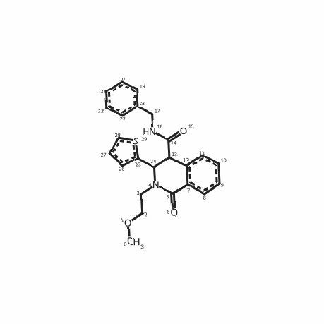 COCCN1C(=O)c2ccccc2C(C(=O)NCc2ccccc2)C1c1cccs1